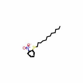 CCCCCCCCCCCCSc1ccccc1[N+](=O)[O-]